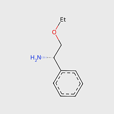 CCOC[C@@H](N)c1ccccc1